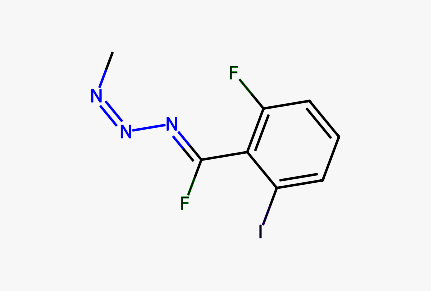 C/N=N\N=C(/F)c1c(F)cccc1I